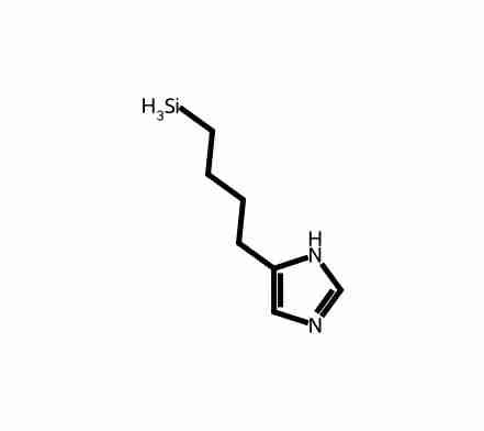 [SiH3]CCCCc1cnc[nH]1